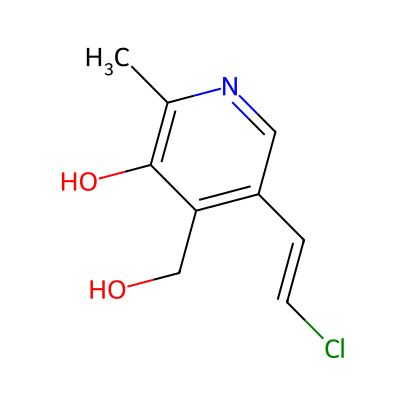 Cc1ncc(C=CCl)c(CO)c1O